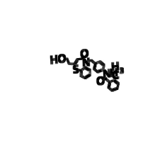 Cc1ccccc1C(=O)Nc1ccc(CN2C(=O)C=C(CCO)Sc3ccccc32)cc1